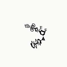 CC(C)(C)S(=O)(=O)C1CN(c2cc([C@@H]3C[C@H]3c3cnc(-c4ncccn4)nc3)cc(F)c2F)C1